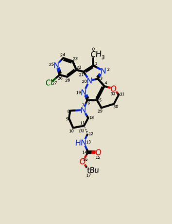 Cc1nc2c3c(c(N4CCC[C@@H](CNC(=O)OC(C)(C)C)C4)nn2c1-c1ccnc(Cl)c1)CCCO3